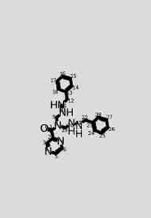 O=C(c1cnccn1)N(CNNCc1ccccc1)CNNCc1ccccc1